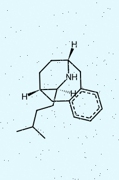 CC(C)CC[C@@H]1N[C@@H]2CC[C@H]1Cc1ccccc1C2